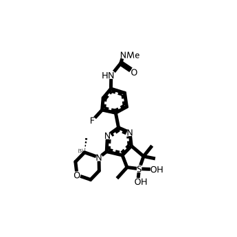 CNC(=O)Nc1ccc(-c2nc(N3CCOC[C@@H]3C)c3c(n2)C(C)(C)S(O)(O)C3C)c(F)c1